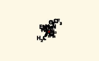 C=C1N[C@H]2[C@H](CC)N/C(=N\C(=O)C(F)(F)F)N3CC=CC23N1